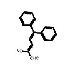 N#C/C(C=O)=C\C=C(c1ccccc1)c1ccccc1